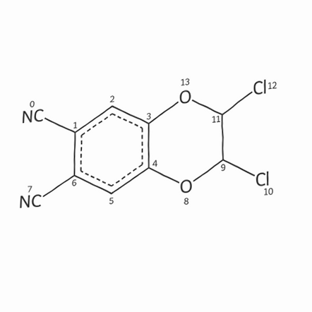 N#Cc1cc2c(cc1C#N)OC(Cl)C(Cl)O2